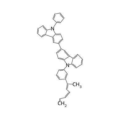 C=C/C=C\C=C(/C)c1cccc(-n2c3ccccc3c3cc(-c4ccc5c(c4)c4ccccc4n5-c4ccccc4)ccc32)c1